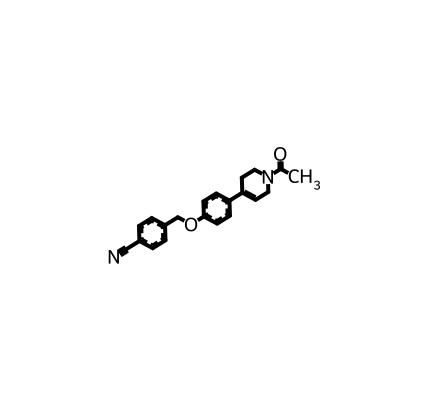 CC(=O)N1CC=C(c2ccc(OCc3ccc(C#N)cc3)cc2)CC1